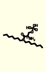 CCCCCCCN(CCCCCCC)C(=O)[C@H](N)COP(=O)(O)O